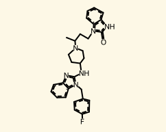 CC(CCn1c(=O)[nH]c2ccccc21)N1CCC(Nc2nc3ccccc3n2Cc2ccc(F)cc2)CC1